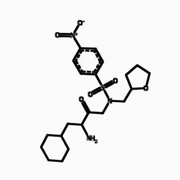 NC(CC1CCCCC1)C(=O)CN(CC1CCCO1)S(=O)(=O)c1ccc([N+](=O)[O-])cc1